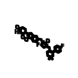 CC1(C)CCC(CN2CCN(Cc3cc4c(cc3F)C(=O)N(C3CCC(=O)NC3=O)C4)C2=O)=C(c2ccc(F)cc2)C1